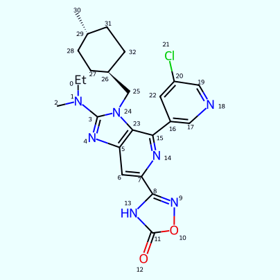 CCN(C)c1nc2cc(-c3noc(=O)[nH]3)nc(-c3cncc(Cl)c3)c2n1C[C@H]1CC[C@H](C)CC1